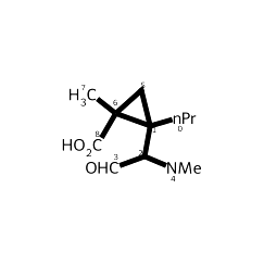 CCCC1(C(C=O)NC)CC1(C)C(=O)O